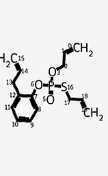 C=CCOP(=O)(Oc1ccccc1CC=C)SCC=C